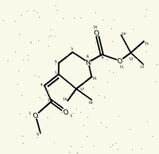 COC(=O)/C=C1/CCN(C(=O)OC(C)(C)C)CC1(C)C